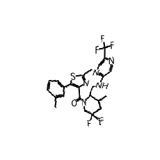 Cc1cccc(-c2sc(C)nc2C(=O)N2CC(F)(F)CC(C)C2CNc2cnc(C(F)(F)F)cn2)c1